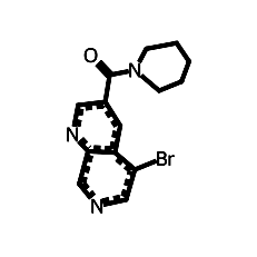 O=C(c1cnc2cncc(Br)c2c1)N1CCCCC1